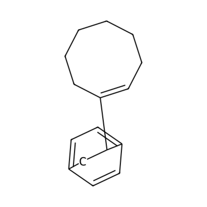 C1=C(C2Cc3ccc2cc3)CCCCCC1